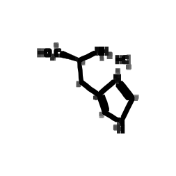 Cl.N[C@@H](Cc1c[nH]cn1)C(=[18O])[18OH]